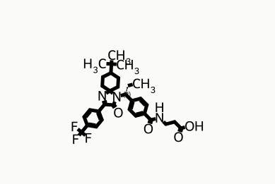 CC[C@H](c1ccc(C(=O)NCCC(=O)O)cc1)N1C(=O)C(c2ccc(C(F)(F)F)cc2)=NC12CCC(C(C)(C)C)CC2